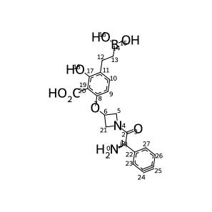 N[C@@H](C(=O)N1CC(Oc2ccc(CCB(O)O)c(O)c2C(=O)O)C1)c1cc#ccc1